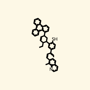 C/C=C(\C=C/c1ccc2cccnc2c1C)c1ccc(S)c(C2CC(c3cccc4c5ccccc5c5ccccc5c34)C=CC2CC)c1